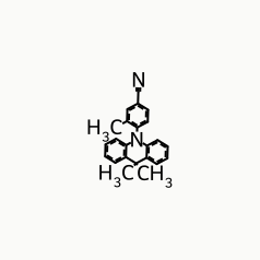 Cc1cc(C#N)ccc1N1c2ccccc2C(C)(C)c2ccccc21